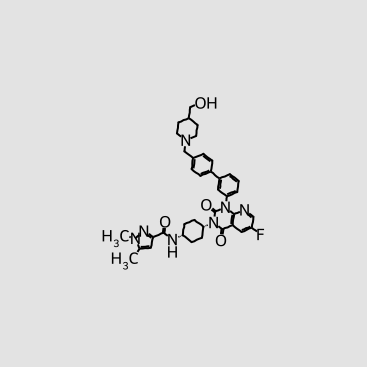 Cc1cc(C(=O)N[C@H]2CC[C@@H](n3c(=O)c4cc(F)cnc4n(-c4cccc(-c5ccc(CN6CCC(CO)CC6)cc5)c4)c3=O)CC2)nn1C